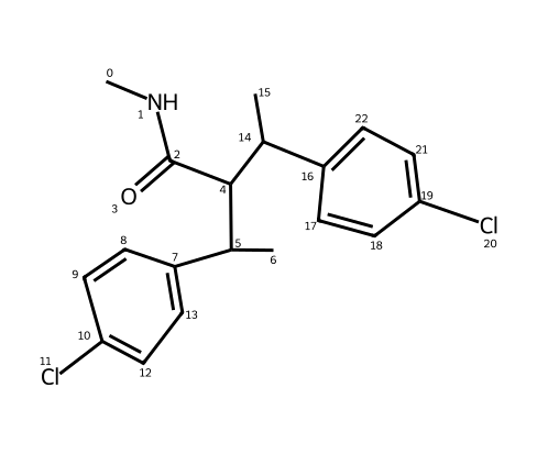 CNC(=O)C(C(C)c1ccc(Cl)cc1)C(C)c1ccc(Cl)cc1